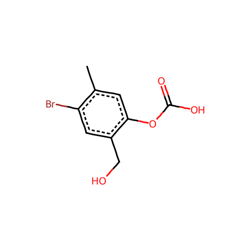 Cc1cc(OC(=O)O)c(CO)cc1Br